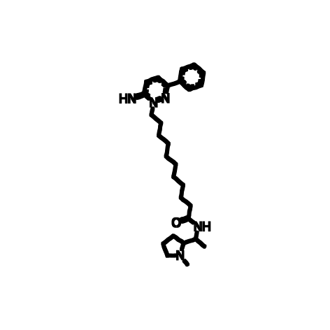 CC(NC(=O)CCCCCCCCCCn1nc(-c2ccccc2)ccc1=N)C1CCCN1C